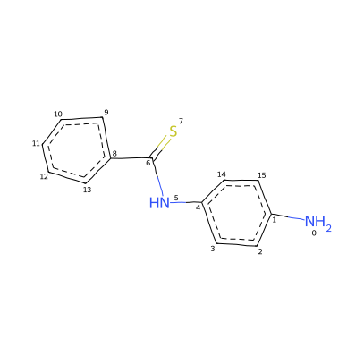 Nc1ccc(NC(=S)c2ccccc2)cc1